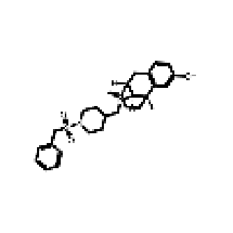 CN1CC[C@@]2(C)c3cc(O)ccc3C[C@@H]1[C@@H]2N(C)CC1CCN(S(=O)(=O)Cc2ccccc2)CC1